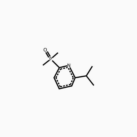 CC(C)c1cccc(P(C)(C)=O)n1